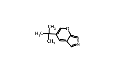 CC(C)(C)c1coc2cncc-2c1